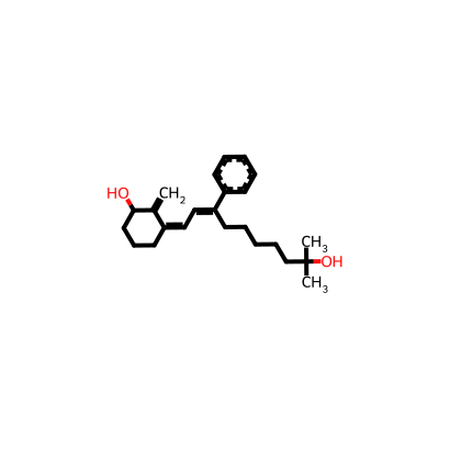 C=C1/C(=C\C=C(/CCCCCC(C)(C)O)c2ccccc2)CCCC1O